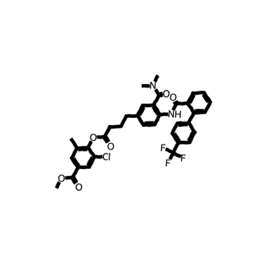 COC(=O)c1cc(C)c(OC(=O)CCCc2ccc(NC(=O)c3ccccc3-c3ccc(C(F)(F)F)cc3)c(C(=O)N(C)C)c2)c(Cl)c1